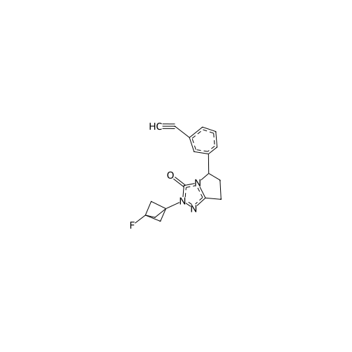 C#Cc1cccc(C2CCc3nn(C45CC(F)(C4)C5)c(=O)n32)c1